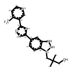 CC(C)(CO)CN1NNc2cc(-c3noc(-c4cnccc4C(F)(F)F)n3)ccc21